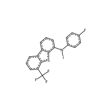 Fc1ccc(N(I)c2cccc3c2sc2c(C(F)(F)F)cccc23)cc1